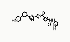 O=C(Nc1ccc(C(=O)N2CC(c3ncc(-c4cccc(C5CCNCC5)c4)s3)C2)s1)[C@@H]1CCCN1